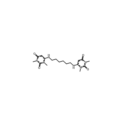 Cn1c(NCCCCCCNc2cc(=O)n(C)c(=O)n2C)cc(=O)n(C)c1=O